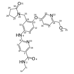 CCNC(=O)c1ccc(Nc2ccc(Oc3ccc(COC)nc3)c(CN3CCCC3=O)c2)nc1